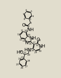 O=C(Cc1ccccc1)Nc1cccc2nc(-c3c(NCC(O)c4ccccc4)cc[nH]c3=O)[nH]c12